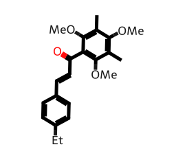 CCc1ccc(/C=C/C(=O)c2c(OC)c(C)c(OC)c(C)c2OC)cc1